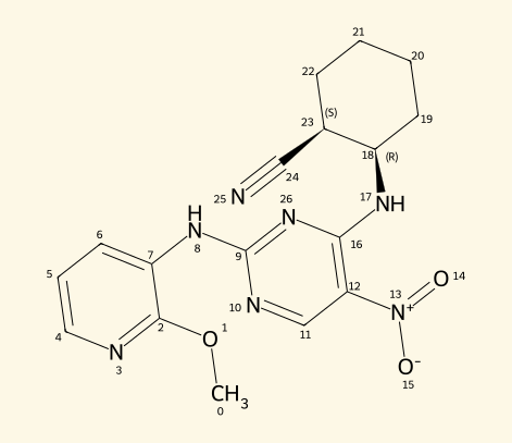 COc1ncccc1Nc1ncc([N+](=O)[O-])c(N[C@@H]2CCCC[C@@H]2C#N)n1